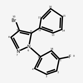 Fc1cccc(-n2ncc(Br)c2-c2ccccc2)c1